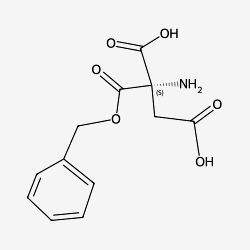 N[C@@](CC(=O)O)(C(=O)O)C(=O)OCc1ccccc1